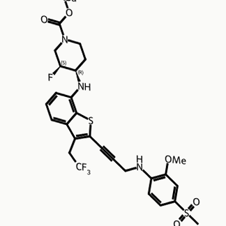 COc1cc(S(C)(=O)=O)ccc1NCC#Cc1sc2c(N[C@@H]3CCN(C(=O)OC(C)(C)C)C[C@@H]3F)cccc2c1CC(F)(F)F